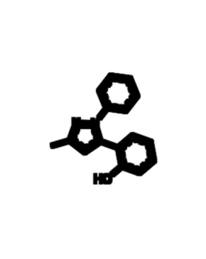 Cc1cc(-c2ccccc2O)n(-c2ccccc2)n1